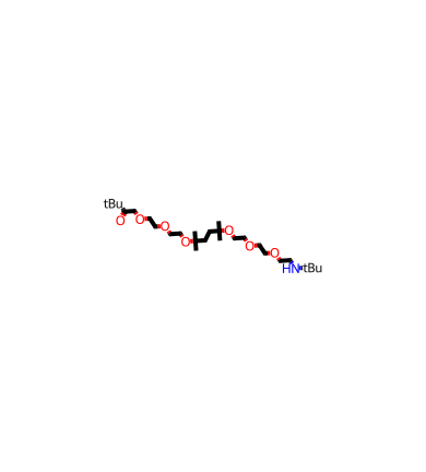 CC(C)(C)NCCOCCOCCOC(C)(C)CCC(C)(C)OCCOCCOCC(=O)C(C)(C)C